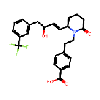 O=C(O)c1ccc(CCN2C(=O)CCCC2C=CC(O)Cc2cccc(C(F)(F)F)c2)cc1